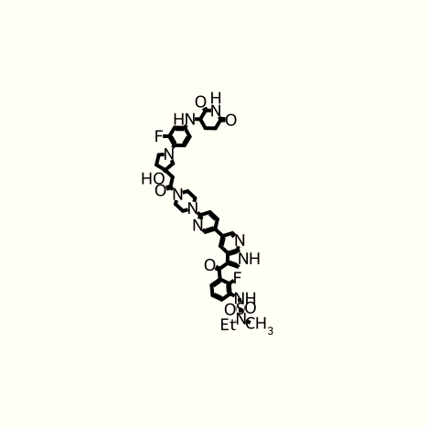 CCN(C)S(=O)(=O)Nc1cccc(C(=O)c2c[nH]c3ncc(-c4ccc(N5CCN(C(=O)CC6(O)CCN(c7ccc(NC8CCC(=O)NC8=O)cc7F)C6)CC5)nc4)cc23)c1F